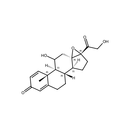 C[C@]12C=CC(=O)C=C1CC[C@@H]1[C@@H]2C(O)C[C@]23O[C@]2(C(=O)CO)CC[C@@H]13